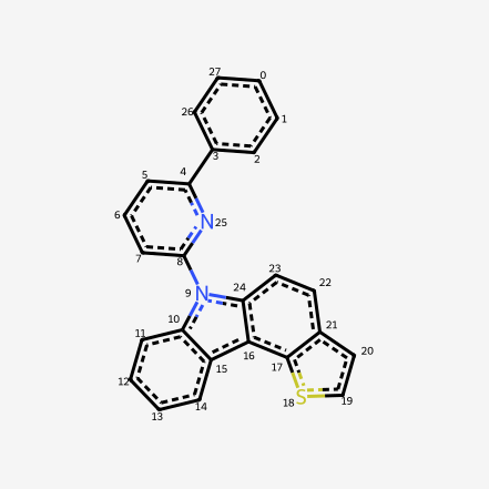 c1ccc(-c2cccc(-n3c4ccccc4c4c5sccc5ccc43)n2)cc1